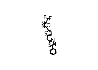 FC(F)c1nnc(-c2ccc(Cc3nnc(-c4ccccc4)s3)s2)o1